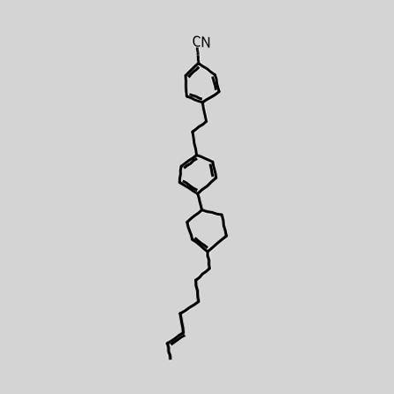 CC=CCCCCC1=CCC(c2ccc(CCc3ccc(C#N)cc3)cc2)CC1